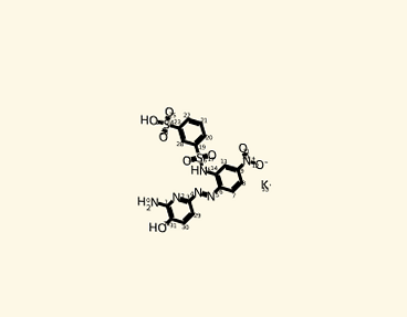 Nc1nc(N=Nc2ccc([N+](=O)[O-])cc2NS(=O)(=O)c2cccc(S(=O)(=O)O)c2)ccc1O.[K]